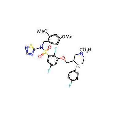 COc1ccc(CN(c2ncns2)S(=O)(=O)c2cc(F)cc(OCC3CN(C(=O)O)CC[C@@H]3c3ccc(F)cc3)c2F)c(OC)c1